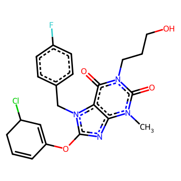 Cn1c(=O)n(CCCO)c(=O)c2c1nc(OC1=CC(Cl)CC=C1)n2Cc1ccc(F)cc1